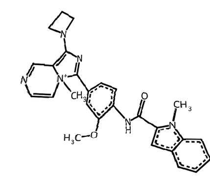 COc1cc(C2=NC(N3CCC3)=C3C=NC=C[N+]23C)ccc1NC(=O)c1cc2ccccc2n1C